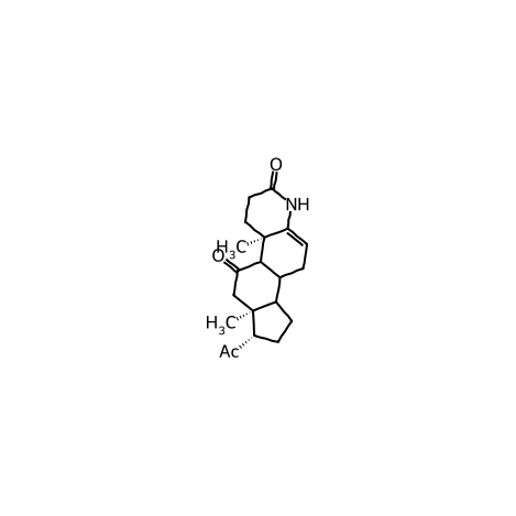 CC(=O)[C@H]1CCC2C3CC=C4NC(=O)CC[C@]4(C)C3C(=O)C[C@@]21C